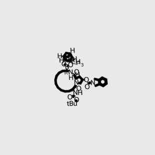 CC(C)(C)OC(=O)N[C@H]1CCCCCCCCC[C@@H](B2O[C@@H]3[C@@H]4C[C@H](C[C@]3(C)O2)C4(C)C)NC(=O)[C@@H]2C[C@@H](OC(=O)N3Cc4ccccc4C3)CN2C1=O